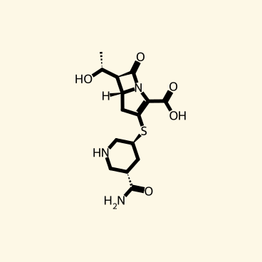 C[C@@H](O)[C@H]1C(=O)N2C(C(=O)O)=C(S[C@@H]3CNC[C@@H](C(N)=O)C3)C[C@H]12